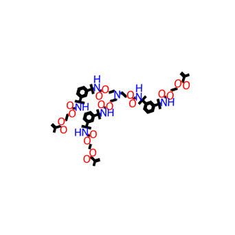 C=C(C)C(=O)OCCOC(=O)NC(C)(C)c1cccc(C(C)(C)NC(=O)OCCN(CCOC(=O)NC(C)(C)c2cccc(C(C)(C)NC(=O)OCCOC(=O)C(=C)C)c2)CCOC(=O)NC(C)(C)c2cccc(C(C)(C)NC(=O)OCCOC(=O)C(=C)C)c2)c1